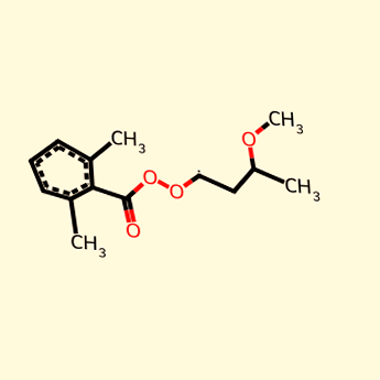 COC(C)C[CH]OOC(=O)c1c(C)cccc1C